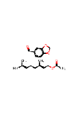 CC(=O)OC/C=C(\C)CCC=C(C)C.O=Cc1ccc2c(c1)OCO2